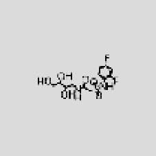 O=C(CS(=O)(=O)Nc1ccc(F)cc1F)NCC(O)C(O)CO